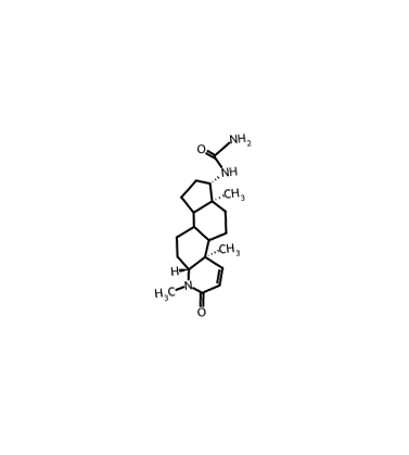 CN1C(=O)C=C[C@]2(C)C3CC[C@@]4(C)C(CC[C@@H]4NC(N)=O)C3CC[C@@H]12